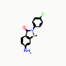 Nc1ccc2c(=O)n(-c3ccc(Cl)cc3)[se]c2c1